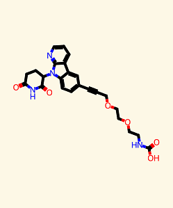 O=C(O)NCCOCCOCC#Cc1ccc2c(c1)c1cccnc1n2C1CCC(=O)NC1=O